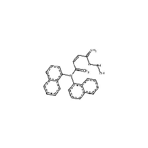 C=C(/C=C\C(=C)N(c1cccc2ccccc12)c1cccc2ccccc12)OBO